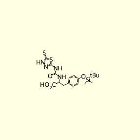 CC(C)(C)[Si](C)(C)Oc1ccc(C[C@H](NC(=O)Nc2n[nH]c(=S)s2)C(=O)O)cc1